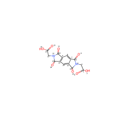 O=C(O)Cn1c(=O)c2cc3c(=O)n(CC(=O)O)c(=O)c3cc2c1=O